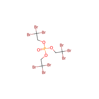 O=P(OCC(Br)(Br)Br)(OCC(Br)(Br)Br)OCC(Br)(Br)Br